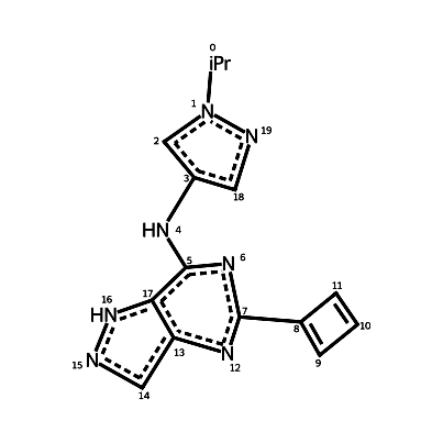 CC(C)n1cc(Nc2nc(C3=CC=C3)nc3cn[nH]c23)cn1